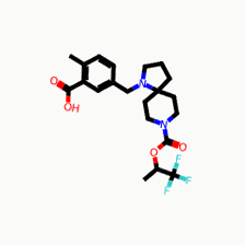 Cc1ccc(CN2CCCC23CCN(C(=O)OC(C)C(F)(F)F)CC3)cc1C(=O)O